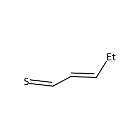 CCC=CC=S